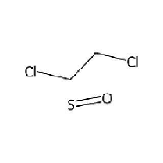 ClCCCl.O=S